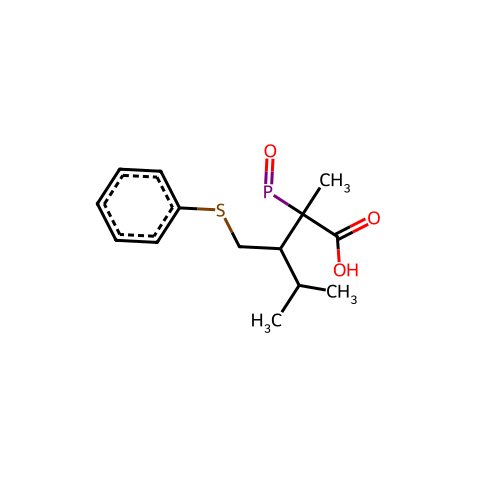 CC(C)C(CSc1ccccc1)C(C)(P=O)C(=O)O